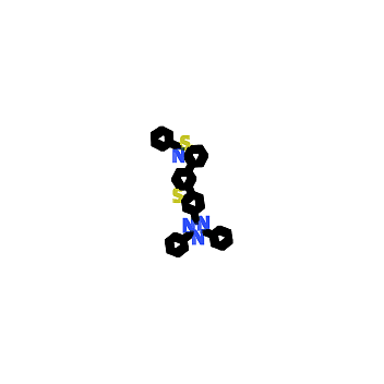 c1ccc(-c2nc(-c3ccccc3)nc(-c3ccc4c(c3)sc3ccc(-c5cccc6sc(-c7ccccc7)nc56)cc34)n2)cc1